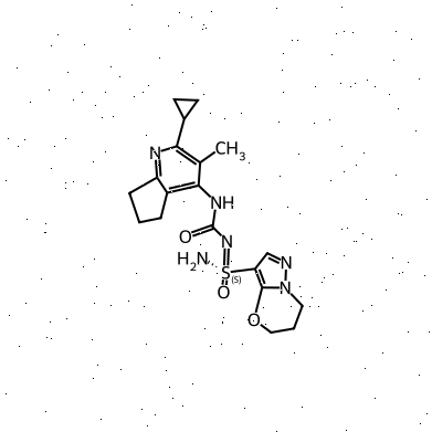 Cc1c(C2CC2)nc2c(c1NC(=O)N=[S@](N)(=O)c1cnn3c1OCCC3)CCC2